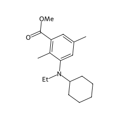 CCN(c1cc(C)cc(C(=O)OC)c1C)C1CCCCC1